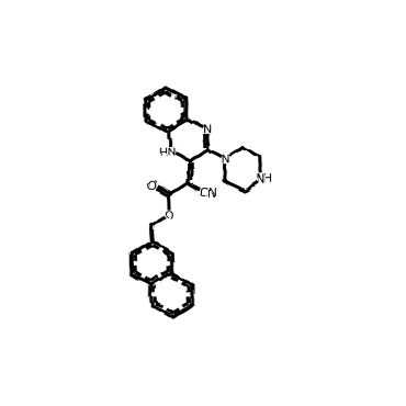 N#C/C(C(=O)OCc1ccc2ccccc2c1)=C1/Nc2ccccc2N=C1N1CCNCC1